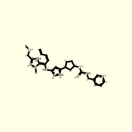 C=C/C=C\C(Nc1cc(C2CCC(OC(=O)NCc3cccnc3)C2)[nH]n1)=C1/NC(COC)=NN1C